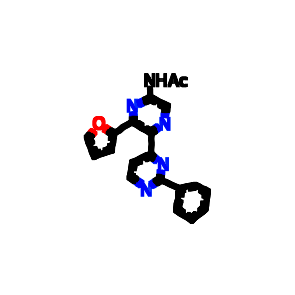 CC(=O)Nc1cnc(-c2ccnc(-c3ccccc3)n2)c(-c2ccco2)n1